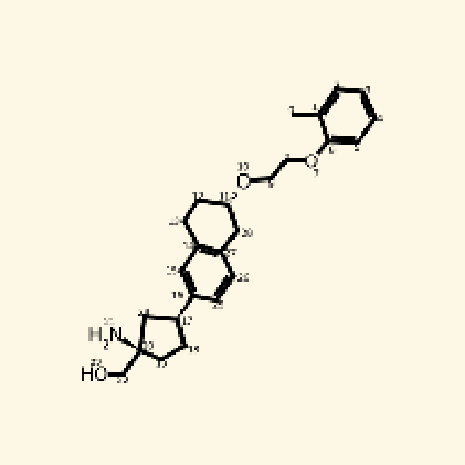 Cc1ccccc1OCCO[C@H]1CCc2cc([C@H]3CC[C@](N)(CO)C3)ccc2C1